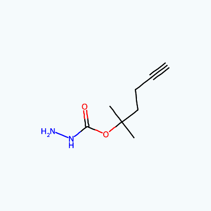 C#CCCC(C)(C)OC(=O)NN